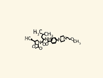 C#CC1CN(C(=O)C(CC(C)C)NC(=O)c2ccc(N3CCN(CCOC)CC3)cc2)C2C(=O)COC12